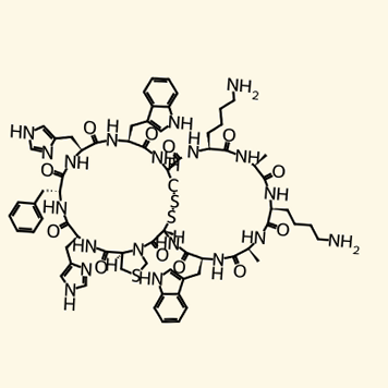 C[C@@H]1NC(=O)[C@H](CCCCN)NC(=O)[C@H](C)NC(=O)[C@H](CCCCN)NC(=O)[C@@H]2CSS[C@H](NC(=O)[C@H](Cc3c[nH]c4ccccc34)NC1=O)C(=O)N1CSC[C@H]1C(=O)N[C@@H](Cc1c[nH]cn1)C(=O)N[C@H](Cc1ccccc1)C(=O)N[C@@H](Cc1c[nH]cn1)C(=O)N[C@@H](Cc1c[nH]c3ccccc13)C(=O)N2